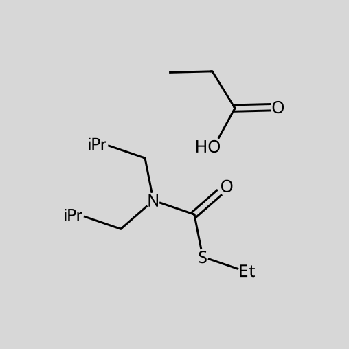 CCC(=O)O.CCSC(=O)N(CC(C)C)CC(C)C